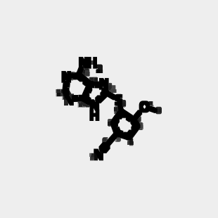 COc1ccc(C#N)cc1Sc1nc2c(N)ncnc2[nH]1